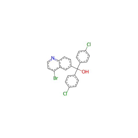 OC(c1ccc(Cl)cc1)(c1ccc(Cl)cc1)c1ccc2nccc(Br)c2c1